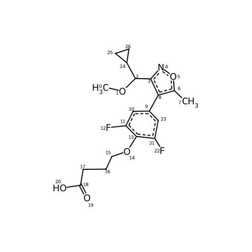 COC(c1noc(C)c1-c1cc(F)c(OCCCC(=O)O)c(F)c1)C1CC1